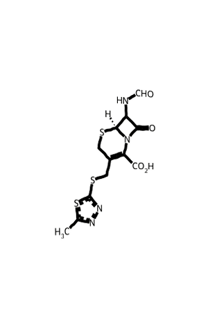 Cc1nnc(SCC2=C(C(=O)O)N3C(=O)C(NC=O)[C@@H]3SC2)s1